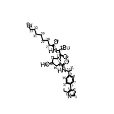 Cc1ncsc1-c1ccc(C(C)NC(=O)[C@@H]2C[C@@H](O)CN2C(=O)C(NC(=O)CCCCCCCBr)C(C)(C)C)cc1